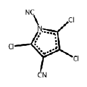 N#Cc1c(Cl)c(Cl)n(C#N)c1Cl